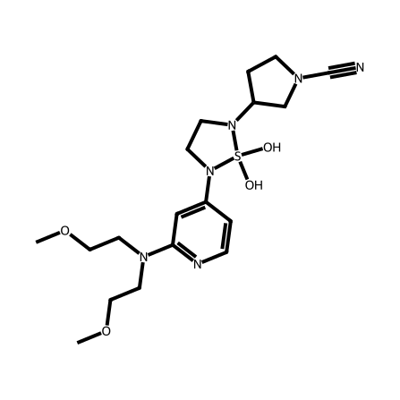 COCCN(CCOC)c1cc(N2CCN(C3CCN(C#N)C3)S2(O)O)ccn1